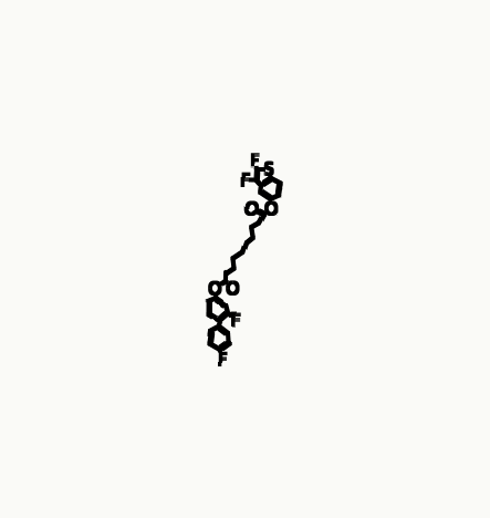 O=C(CCCCCCCCC(=O)Oc1ccc2sc(F)c(F)c2c1)Oc1ccc(-c2ccc(F)cc2)c(F)c1